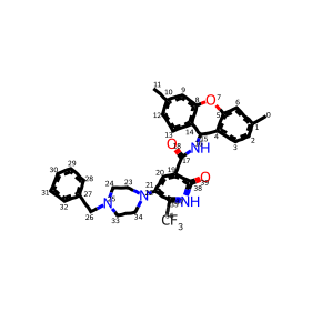 Cc1ccc2c(c1)Oc1cc(C)ccc1C2NC(=O)c1cc(N2CCN(Cc3ccccc3)CC2)c(C(F)(F)F)[nH]c1=O